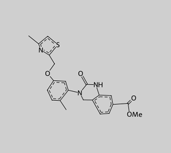 COC(=O)c1ccc2c(c1)NC(=O)N(c1cc(OCc3nc(C)cs3)ccc1C)C2